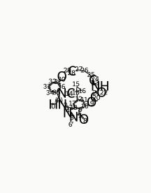 C[C@H]1Nc2nn(C)c(=O)c3c(cc(C4(C#N)CC4)cc23)OCC(=O)NCCCCCCOc2cccc1c2